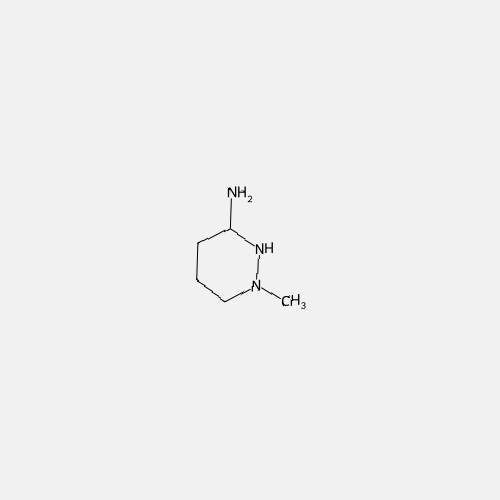 CN1CCCC(N)N1